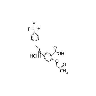 CC(=O)COc1ccc(NCCc2ccc(C(F)(F)F)cc2)cc1C(=O)O.Cl